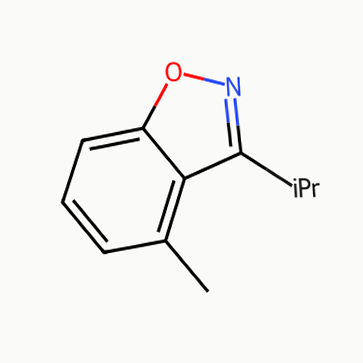 Cc1cccc2onc(C(C)C)c12